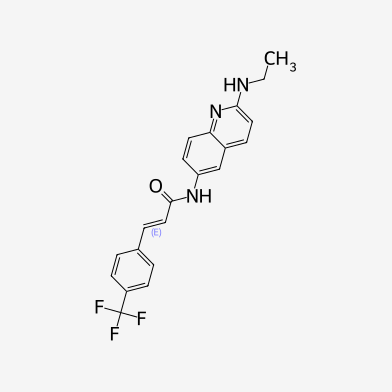 CCNc1ccc2cc(NC(=O)/C=C/c3ccc(C(F)(F)F)cc3)ccc2n1